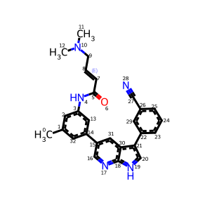 Cc1cc(NC(=O)/C=C/CN(C)C)cc(-c2cnc3[nH]cc(-c4cccc(C#N)c4)c3c2)c1